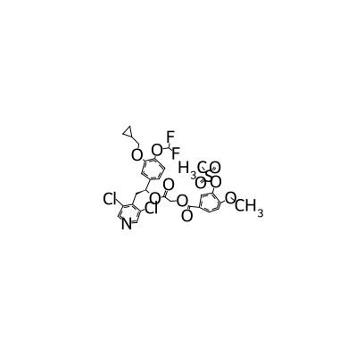 COc1ccc(C(=O)OCC(=O)O[C@@H](Cc2c(Cl)cncc2Cl)c2ccc(OC(F)F)c(OCC3CC3)c2)cc1OS(C)(=O)=O